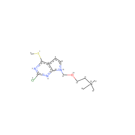 CSc1nc(Cl)nc2c1ccn2COCC[Si](C)(C)C